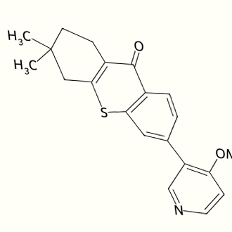 COc1ccncc1-c1ccc2c(=O)c3c(sc2c1)CC(C)(C)CC3